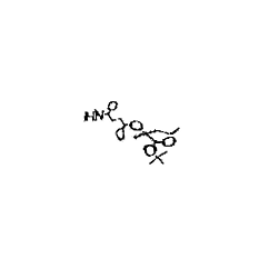 CCCC(C)(OC(=O)CCC(=O)NC)C(=O)OC(C)(C)C